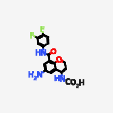 Nc1cc(C(=O)Nc2ccc(F)c(F)c2)c2c(c1)C(NC(=O)O)CCO2